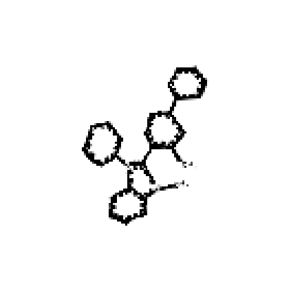 Cc1cc(-c2ccccc2)ccc1-c1n(-c2ccccc2)c2ccccc2[n+]1C